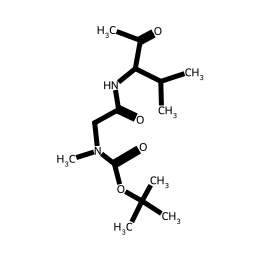 CC(=O)C(NC(=O)CN(C)C(=O)OC(C)(C)C)C(C)C